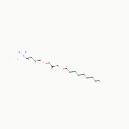 CCCCCCCCCCCCCCCCCCOCC(O)COCCCC[N+](C)(C)C.[Br-]